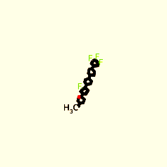 CCC1CCC(c2ccc(C3CCC(C4CCC(c5cc(F)c(F)c(F)c5)CC4)CC3)c(F)c2)CC1